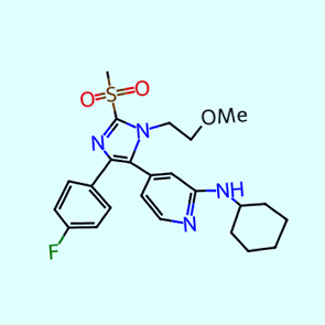 COCCn1c(S(C)(=O)=O)nc(-c2ccc(F)cc2)c1-c1ccnc(NC2CCCCC2)c1